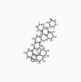 c1ccc(-c2c3ccccc3c(-c3ccc4cc(-c5cccc6oc7ccc8ccccc8c7c56)ccc4c3)c3ccccc23)cc1